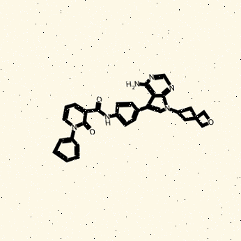 Nc1ncnc2c1c(-c1ccc(NC(=O)c3cccn(-c4ccccc4)c3=O)cc1)cn2C1CC2(COC2)C1